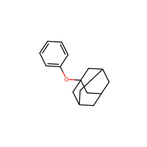 [c]1cccc(OC23CC4CC(CC(C4)C2)C3)c1